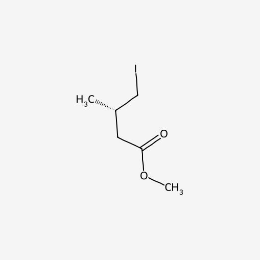 COC(=O)C[C@H](C)CI